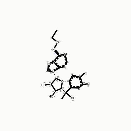 CCO/N=c1\[nH]cnc2c1ncn2[C@@H]1O[C@H](C(C)(O)c2ccc(Cl)c(Cl)c2)[C@@H](O)[C@H]1O